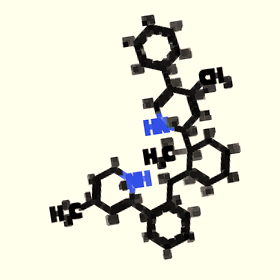 CC1=CCNC(c2ccccc2CC2=CC=CCC2(C)C2C=C(C)C(c3ccccc3)=CN2)=C1